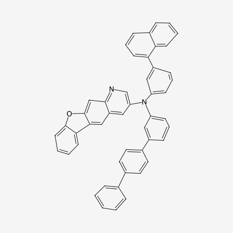 c1ccc(-c2ccc(-c3cccc(N(c4cccc(-c5cccc6ccccc56)c4)c4cnc5cc6oc7ccccc7c6cc5c4)c3)cc2)cc1